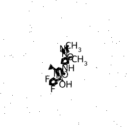 COc1cc(Nc2cc(C3CC3)nn([C@@H](CO)c3cc(F)cc(F)c3)c2=O)ccc1-n1cnc(C)c1